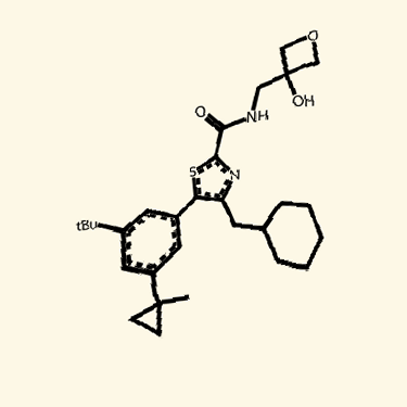 CC(C)(C)c1cc(-c2sc(C(=O)NCC3(O)COC3)nc2CC2CCCCC2)cc(C2(C)CC2)c1